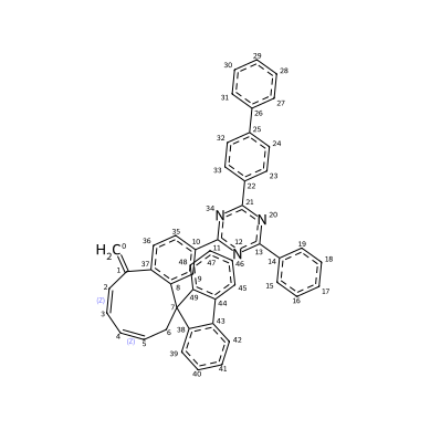 C=C1/C=C\C=C/CC2(c3cc(-c4nc(-c5ccccc5)nc(-c5ccc(-c6ccccc6)cc5)n4)ccc31)c1ccccc1-c1ccccc12